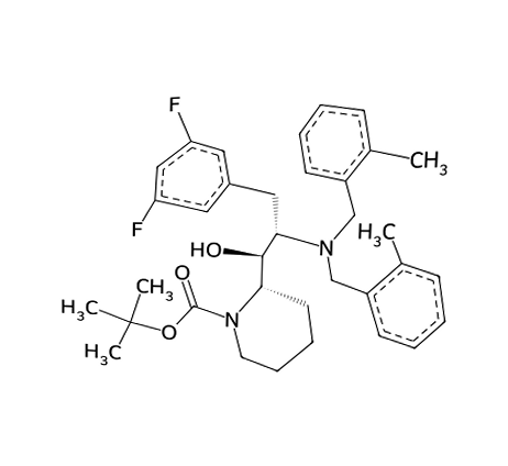 Cc1ccccc1CN(Cc1ccccc1C)[C@@H](Cc1cc(F)cc(F)c1)[C@H](O)[C@@H]1CCCCN1C(=O)OC(C)(C)C